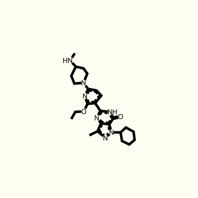 CCOc1nc(N2CCC(NC)CC2)ccc1-c1nc2c(C)nn(C3CCCCC3)c2c(=O)[nH]1